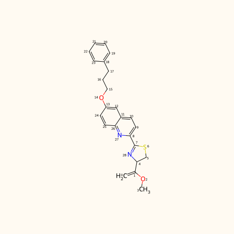 C=C(OC)C1CSC(c2ccc3cc(OCCCc4ccccc4)ccc3n2)=N1